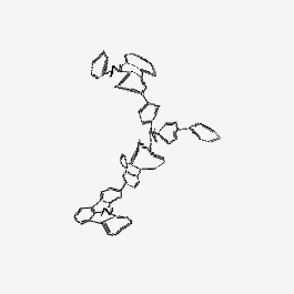 c1ccc(-c2ccc(N(c3ccc(-c4ccc5c(c4)c4ccccc4n5-c4ccccc4)cc3)c3ccc4c(c3)oc3cc(-c5ccc6c7cccc8c9ccccc9n(c6c5)c87)ccc34)cc2)cc1